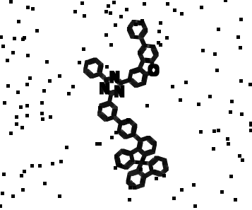 c1ccc(-c2ccc3oc4ccc(-c5nc(-c6ccccc6)nc(-c6cccc(-c7ccc(-c8cccc9c8-c8ccccc8C98c9ccccc9-c9ccccc98)cc7)c6)n5)cc4c3c2)cc1